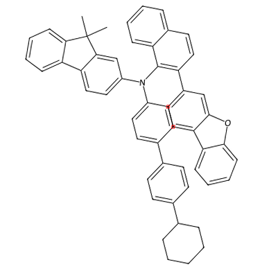 CC1(C)c2ccccc2-c2ccc(N(c3ccc(-c4ccc(C5CCCCC5)cc4)cc3)c3c(-c4ccc5c(c4)oc4ccccc45)ccc4ccccc34)cc21